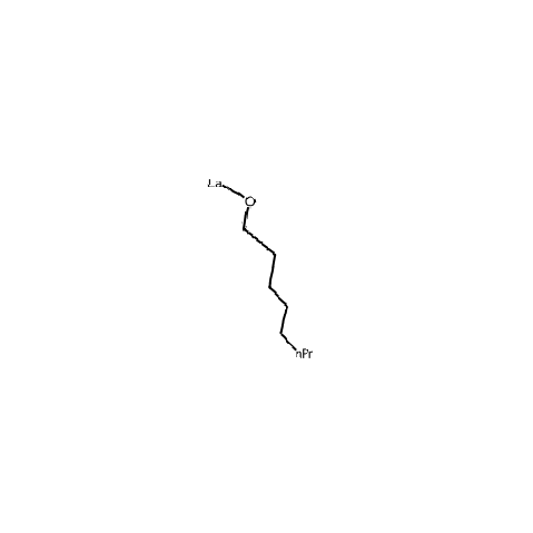 CCCCCCCC[O][La]